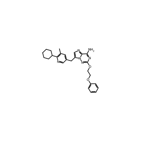 Cc1cc(Cc2cnc3c(N)nc(OCCOc4ccccc4)nn23)cnc1C1CCCCC1